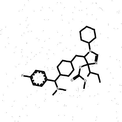 CCC(C)C1(OC(=O)OC)N=CN(C2CCCCC2)C1CC1CCC(C(c2ccc(F)cc2)N(C)C)CC1